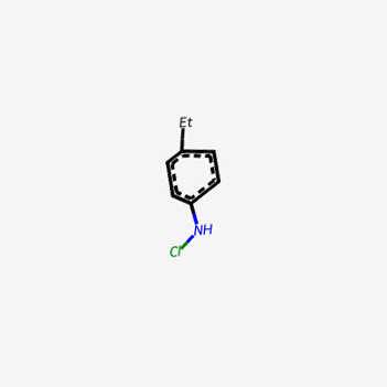 CCc1ccc(NCl)cc1